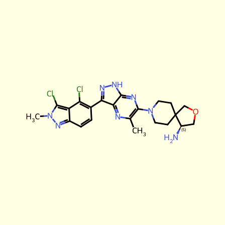 Cc1nc2c(-c3ccc4nn(C)c(Cl)c4c3Cl)n[nH]c2nc1N1CCC2(CC1)COC[C@H]2N